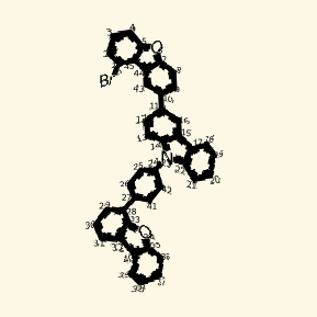 Brc1cccc2oc3ccc(-c4ccc5c(c4)c4ccccc4n5-c4ccc(-c5cccc6c5oc5ccccc56)cc4)cc3c12